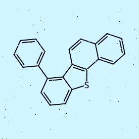 c1ccc(-c2cccc3sc4c5ccccc5ccc4c23)cc1